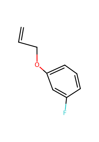 C=CCOc1cccc(F)c1